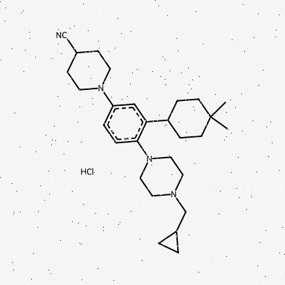 CC1(C)CCC(c2cc(N3CCC(C#N)CC3)ccc2N2CCN(CC3CC3)CC2)CC1.Cl